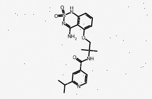 CC(C)c1cc(C(=O)NC(C)(C)COc2cccc3c2C(N)=NS(=O)(=O)N3)ccn1